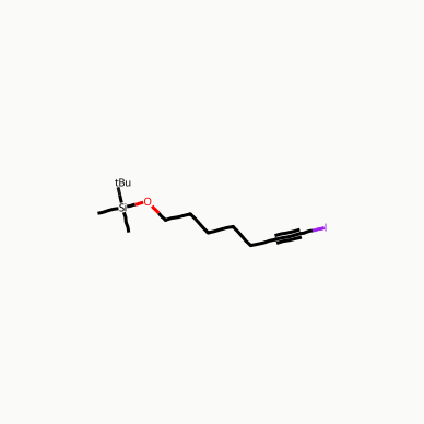 CC(C)(C)[Si](C)(C)OCCCCCC#CI